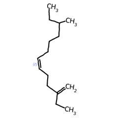 C=C(CC)CC/C=C\CCCC(C)CC